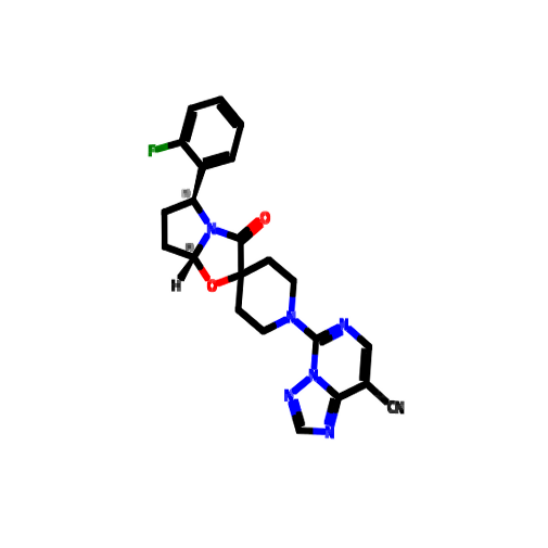 N#Cc1cnc(N2CCC3(CC2)O[C@@H]2CC[C@@H](c4ccccc4F)N2C3=O)n2ncnc12